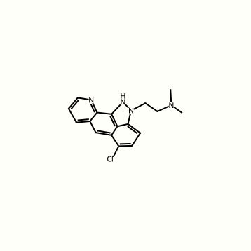 CN(C)CCN1Nc2c3ncccc3cc3c(Cl)ccc1c23